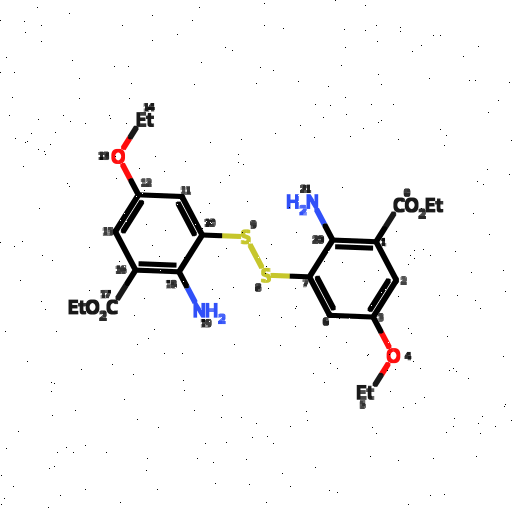 CCOC(=O)c1cc(OCC)cc(SSc2cc(OCC)cc(C(=O)OCC)c2N)c1N